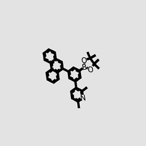 Cc1ccc(-c2cc(B3OC(C)(C)C(C)(C)O3)cc(-c3cc4ccccc4c4ccccc34)c2)c(C)n1